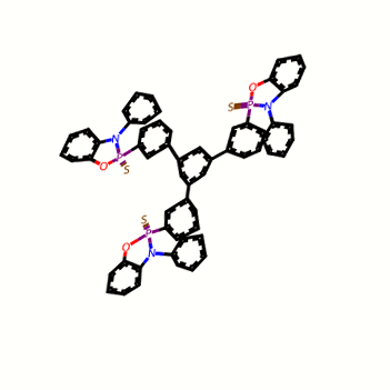 S=P1(c2cccc(-c3cc(-c4cccc(P5(=S)Oc6ccccc6N5c5ccccc5)c4)cc(-c4cccc(P5(=S)Oc6ccccc6N5c5ccccc5)c4)c3)c2)Oc2ccccc2N1c1ccccc1